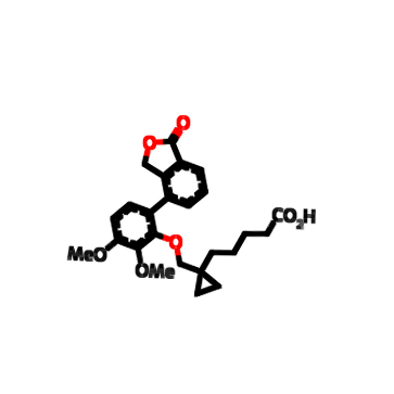 COc1ccc(-c2cccc3c2COC3=O)c(OCC2(CCCCC(=O)O)CC2)c1OC